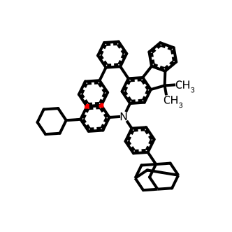 CC1(C)c2ccccc2-c2c(-c3ccccc3-c3ccccc3)cc(N(c3ccc(C4CCCCC4)cc3)c3ccc(C45CC6CC(CC(C6)C4)C5)cc3)cc21